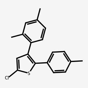 Cc1ccc(-c2sc(Cl)cc2-c2ccc(C)cc2C)cc1